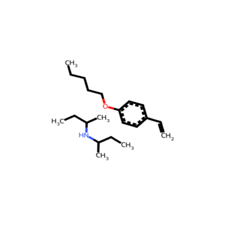 C=Cc1ccc(OCCCCC)cc1.CCC(C)NC(C)CC